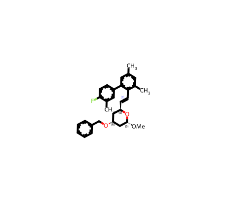 CO[C@@H]1C[C@H](OCc2ccccc2)C[C@@H](/C=C/c2c(C)cc(C)cc2-c2ccc(F)c(C)c2)O1